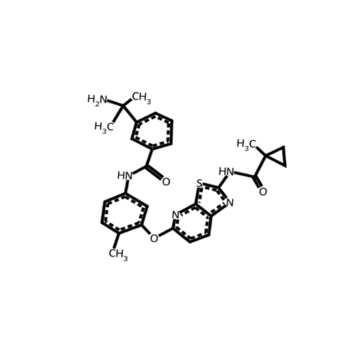 Cc1ccc(NC(=O)c2cccc(C(C)(C)N)c2)cc1Oc1ccc2nc(NC(=O)C3(C)CC3)sc2n1